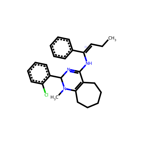 CC/C=C(\NC1=NC(c2ccccc2Cl)N(C)C2=C1CCCCC2)c1ccccc1